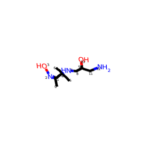 CC(=NO)C(C)(C)NCC(O)CN